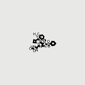 C[C@@H](Nc1nc(-c2noc(=O)[nH]2)nc2nc(S(=O)(=O)c3ccccc3)n(C[C@H]3CC[C@H](C)CC3)c12)C1CCC1